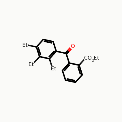 CCOC(=O)c1ccccc1C(=O)c1ccc(CC)c(CC)c1CC